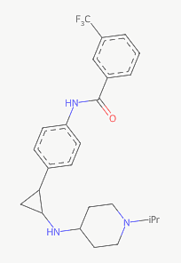 CC(C)N1CCC(NC2CC2c2ccc(NC(=O)c3cccc(C(F)(F)F)c3)cc2)CC1